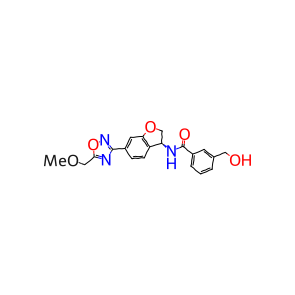 COCc1nc(-c2ccc3c(c2)OC[C@H]3NC(=O)c2cccc(CO)c2)no1